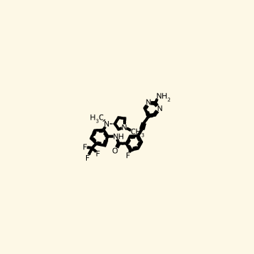 CN1CC[C@@H](N(C)c2ccc(C(F)(F)F)cc2NC(=O)c2cc(C#Cc3cnc(N)nc3)ccc2F)C1